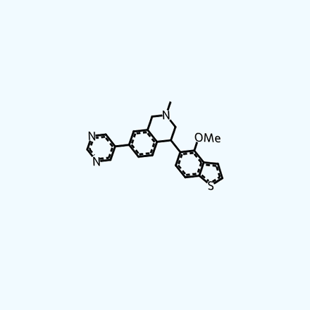 COc1c(C2CN(C)Cc3cc(-c4cncnc4)ccc32)ccc2sccc12